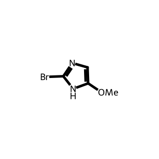 COc1cnc(Br)[nH]1